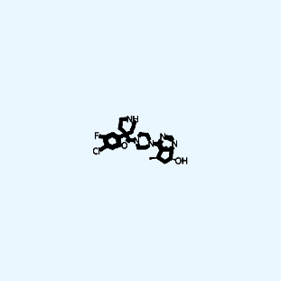 C[C@@H]1C[C@@H](O)c2ncnc(N3CCN(C(=O)C4(c5ccc(Cl)c(F)c5)CCNCC4)CC3)c21